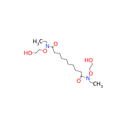 CCN(OCCO)C(=O)CCCCCCCCC(=O)N(CC)OCCO